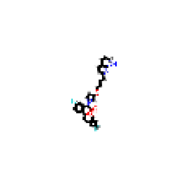 OC(O)C(c1cc(F)ccc1C1CCC2(CO1)CC(F)(F)C2)N1CC[C@@H](OCCCCc2ccc3c(n2)NCCC3)C1